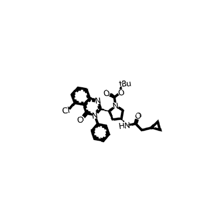 CC(C)(C)OC(=O)N1C[C@H](NC(=O)CC2CC2)C[C@H]1c1nc2cccc(Cl)c2c(=O)n1-c1ccccc1